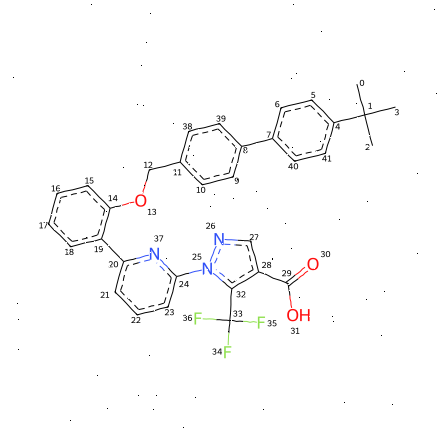 CC(C)(C)c1ccc(-c2ccc(COc3ccccc3-c3cccc(-n4ncc(C(=O)O)c4C(F)(F)F)n3)cc2)cc1